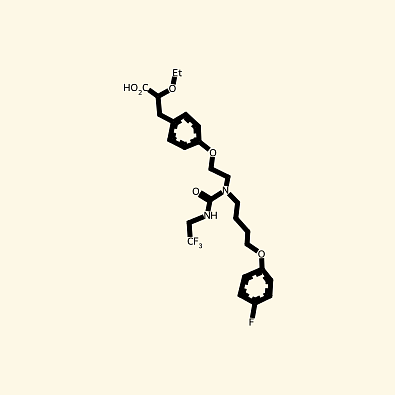 CCOC(Cc1ccc(OCCN(CCCCOc2ccc(F)cc2)C(=O)NCC(F)(F)F)cc1)C(=O)O